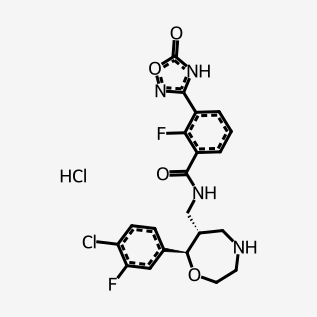 Cl.O=C(NC[C@@H]1CNCCO[C@H]1c1ccc(Cl)c(F)c1)c1cccc(-c2noc(=O)[nH]2)c1F